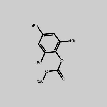 CCCCc1cc(C(C)(C)C)c(OC(=O)OC(C)(C)C)c(C(C)(C)C)c1